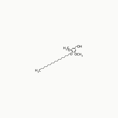 CCCCCCCCCCCCCCCCCCOc1c(OC)cc(CO)cc1OC